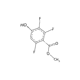 COC(=O)c1c(F)cc(O)c(F)c1F